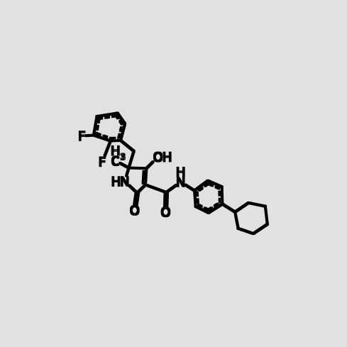 CC1(Cc2cccc(F)c2F)NC(=O)C(C(=O)Nc2ccc(C3CCCCC3)cc2)=C1O